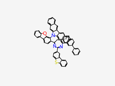 CC1=C(c2cccc(-c3ccccc3)c2)N=C(c2ccc3sc4ccccc4c3c2)N=C(c2ccc3c(oc4ccccc43)c2-n2c3cc4ccccc4cc3c3cc4ccccc4cc32)C1